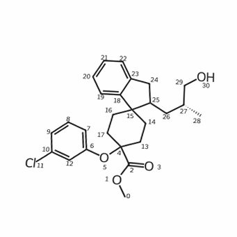 COC(=O)C1(Oc2cccc(Cl)c2)CCC2(CC1)c1ccccc1CC2C[C@@H](C)CO